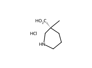 C[C@@]1(C(=O)O)CCCNC1.Cl